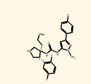 COCC[C@@]1(NC(=O)Nc2cc(-c3ccc(F)cc3)nn2C)CNC[C@H]1c1cc(F)ccc1F